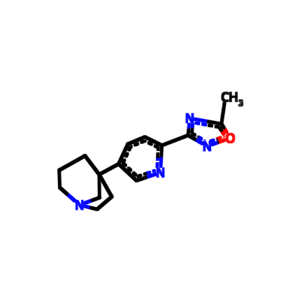 Cc1nc(-c2ccc(C34CCCN(CC3)C4)cn2)no1